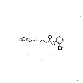 CCCCCCCCCCCCCCCC(=O)Oc1ccccc1CC